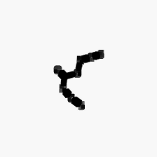 O=C(N=C=S)ON=C=S